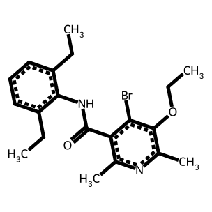 CCOc1c(C)nc(C)c(C(=O)Nc2c(CC)cccc2CC)c1Br